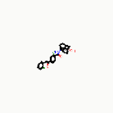 O=C(Cc1ccccc1F)c1ccc(C(=O)N[C@H]2C3CC4C[C@@]5(O)CC2CC45C3)c(Cl)c1